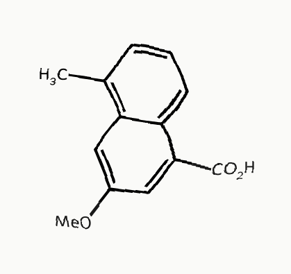 COc1cc(C(=O)O)c2cccc(C)c2c1